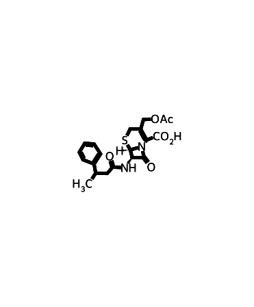 CC(=O)OCC1=C(C(=O)O)N2C(=O)[C@@H](NC(=O)CC(C)c3ccccc3)[C@H]2SC1